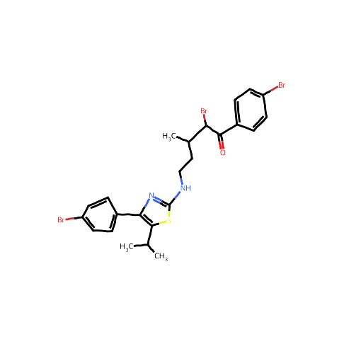 CC(C)c1sc(NCCC(C)C(Br)C(=O)c2ccc(Br)cc2)nc1-c1ccc(Br)cc1